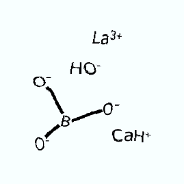 [CaH+].[La+3].[O-]B([O-])[O-].[OH-]